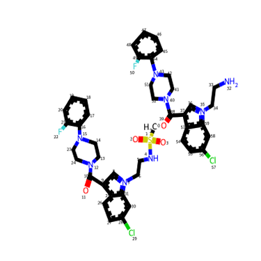 CS(=O)(=O)NCCn1cc(C(=O)N2CCN(c3ccccc3F)CC2)c2ccc(Cl)cc21.NCCn1cc(C(=O)N2CCN(c3ccccc3F)CC2)c2ccc(Cl)cc21